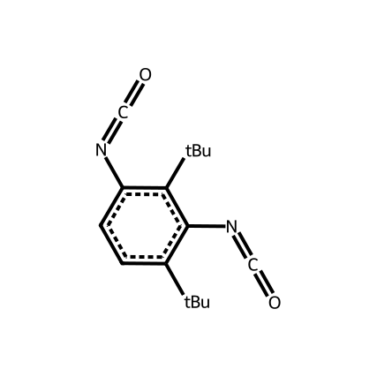 CC(C)(C)c1ccc(N=C=O)c(C(C)(C)C)c1N=C=O